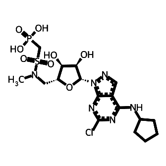 CN(C[C@H]1O[C@@H](n2ncc3c(NC4CCCC4)nc(Cl)nc32)[C@H](O)[C@@H]1O)S(=O)(=O)CP(=O)(O)O